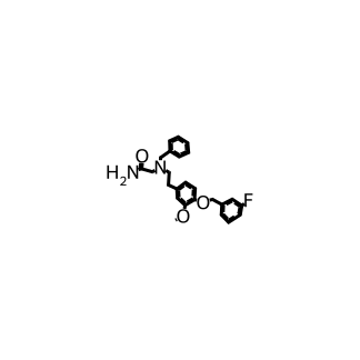 COc1cc(CCN(CC(N)=O)Cc2ccccc2)ccc1OCc1cccc(F)c1